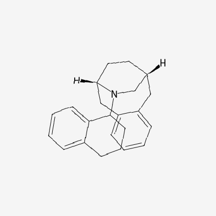 c1ccc2c(c1)C[C@H]1CC[C@@H](C2)N(C2CCCc3ccccc32)C1